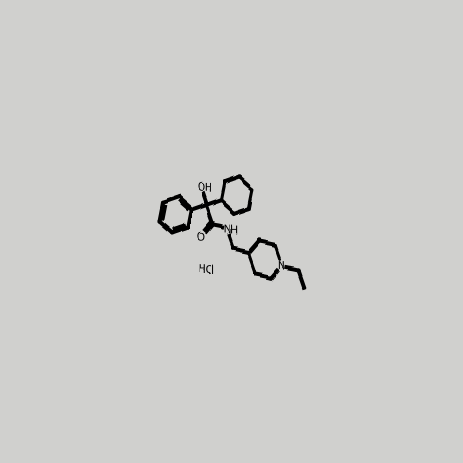 CCN1CCC(CNC(=O)C(O)(c2ccccc2)C2CCCCC2)CC1.Cl